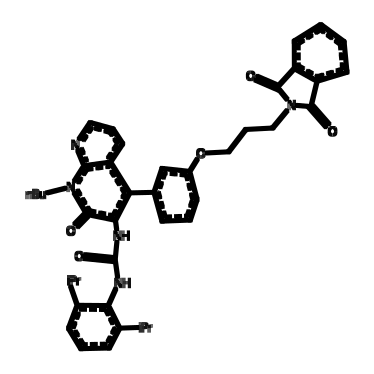 CCCCn1c(=O)c(NC(=O)Nc2c(C(C)C)cccc2C(C)C)c(-c2cccc(OCCCN3C(=O)c4ccccc4C3=O)c2)c2cccnc21